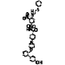 O=C(NS(=O)(=O)c1ccc(NCCSc2ccccc2)c([N+](=O)[O-])c1)c1ccc(N2CCN(Cc3ccccc3-c3ccc(O)cc3)CC2)cc1